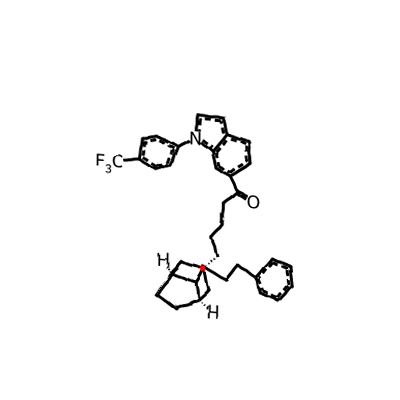 O=C(CCCC[C@@H]1C[C@H]2CC[C@@H](C1)C2CCCc1ccccc1)c1ccc2ccn(-c3ccc(C(F)(F)F)cc3)c2c1